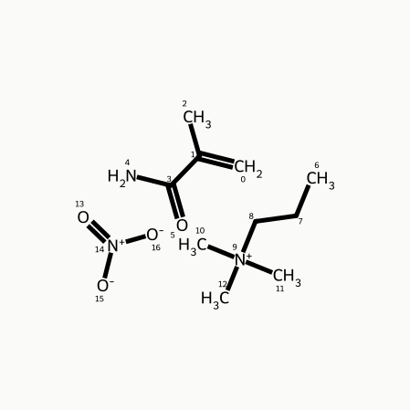 C=C(C)C(N)=O.CCC[N+](C)(C)C.O=[N+]([O-])[O-]